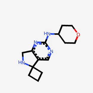 c1nc(NC2CCOCC2)nc2c1C1(CCC1)NC2